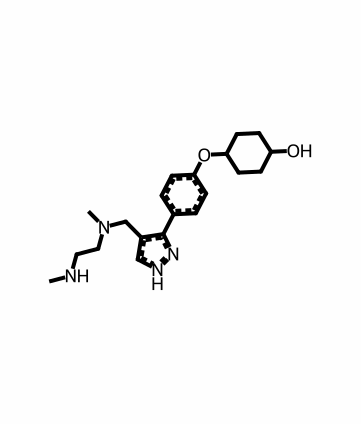 CNCCN(C)Cc1c[nH]nc1-c1ccc(OC2CCC(O)CC2)cc1